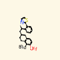 CC(CC1CCc2c(ccc(O)c2C(C)(C)C)C1)c1ccccc1-c1nccs1